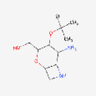 CCC(C)(C)OC1C(CO)OC2CNC2C1N